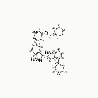 c1ccc(COc2cncc(-c3ccc4[nH]nc(-c5cc6c(-c7ccncc7)cccc6[nH]5)c4c3)c2)cc1